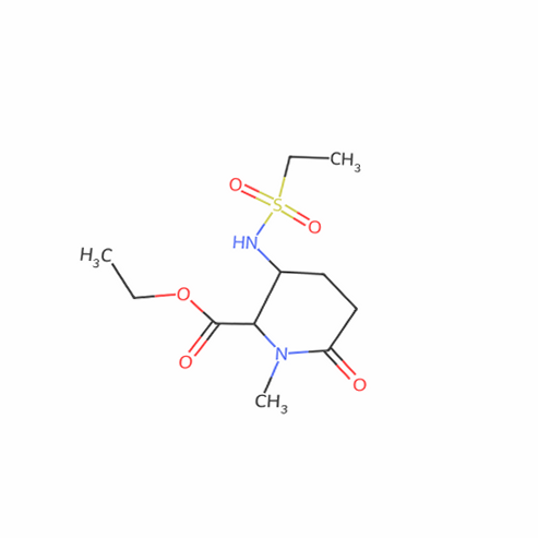 CCOC(=O)C1C(NS(=O)(=O)CC)CCC(=O)N1C